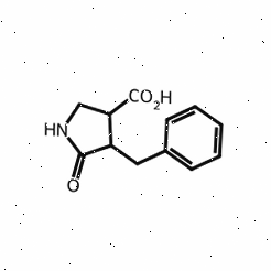 O=C(O)C1CNC(=O)C1Cc1ccccc1